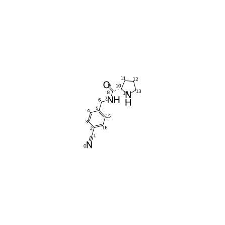 N#Cc1ccc(CNC(=O)[C@@H]2CCCN2)cc1